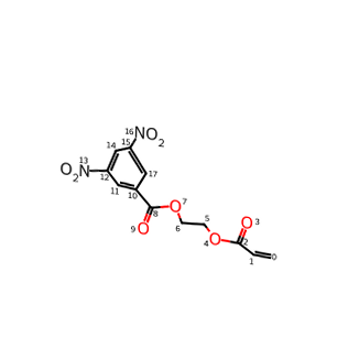 C=CC(=O)OCCOC(=O)c1cc([N+](=O)[O-])cc([N+](=O)[O-])c1